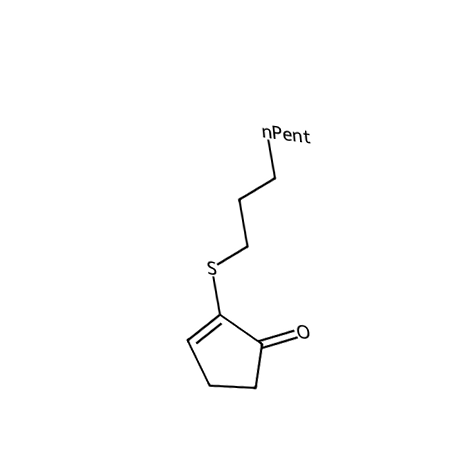 CCCCCCCCSC1=CCCC1=O